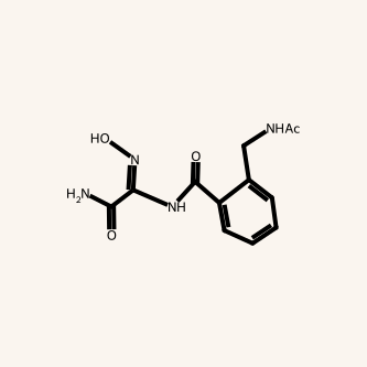 CC(=O)NCc1ccccc1C(=O)NC(=NO)C(N)=O